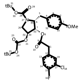 COc1ccc(C[C@@H]2[C@H](OC(=O)Cc3ccc(F)c(Cl)c3)[C@@H](OC(=O)OC(C)(C)C)CN2C(=O)OC(C)(C)C)cc1